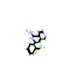 Nc1nc(-c2ccccc2C(F)(F)F)cc2cnccc12